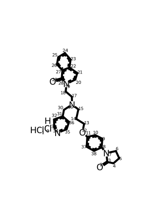 Cl.Cl.O=C1CCCN1c1ccc(OCCCN(CCn2ccc3ccccc3c2=O)Cc2ccncc2)cc1